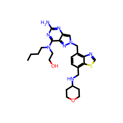 CCCCN(CCO)c1nc(N)nc2cn(Cc3ccc(CNC4CCOCC4)c4scnc34)nc12